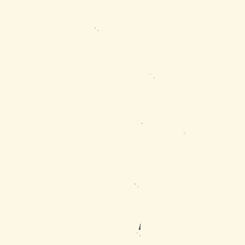 Cl.N#CC(C#N)C(=O)c1cn(C2CC2)c2c(Cl)c(N3CC[C@@H](N)C3)c(F)cc2c1=O